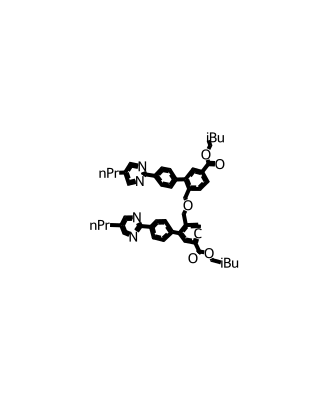 CCCc1cnc(-c2ccc(-c3cc(C(=O)OCC(C)CC)ccc3COCc3ccc(C(=O)OCC(C)CC)cc3-c3ccc(-c4ncc(CCC)cn4)cc3)cc2)nc1